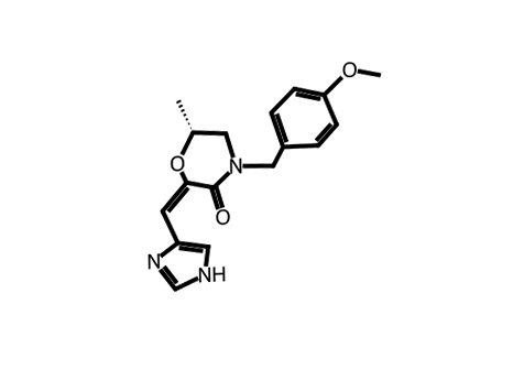 COc1ccc(CN2C[C@@H](C)O/C(=C/c3c[nH]cn3)C2=O)cc1